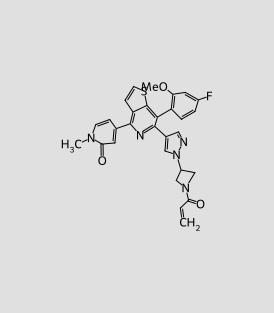 C=CC(=O)N1CC(n2cc(-c3nc(-c4ccn(C)c(=O)c4)c4ccsc4c3-c3ccc(F)cc3OC)cn2)C1